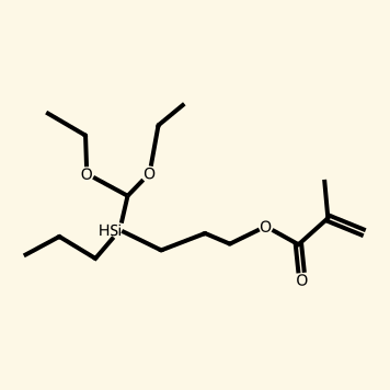 C=C(C)C(=O)OCCC[SiH](CCC)C(OCC)OCC